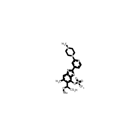 Cc1cc2nc(-c3ccnc(N4CCN(C)CC4)c3)sc2c(OS(=O)(=O)C(F)(F)F)c1C(OC(C)(C)C)C(=O)O